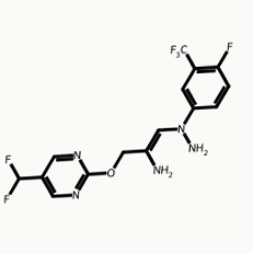 N/C(=C\N(N)c1ccc(F)c(C(F)(F)F)c1)COc1ncc(C(F)F)cn1